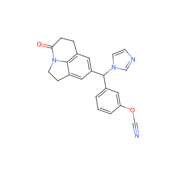 N#COc1cccc(C(c2cc3c4c(c2)CCN4C(=O)CC3)n2ccnc2)c1